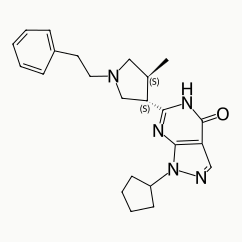 C[C@@H]1CN(CCc2ccccc2)C[C@H]1c1nc2c(cnn2C2CCCC2)c(=O)[nH]1